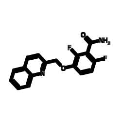 NC(=O)c1c(F)ccc(OCc2ccc3ccccc3n2)c1F